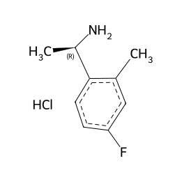 Cc1cc(F)ccc1[C@@H](C)N.Cl